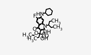 CCOC(CC)(c1cn(C(CC)CC)c2cc(NC3CCCCC3)c(F)cc2c1=O)P(=O)(O)O